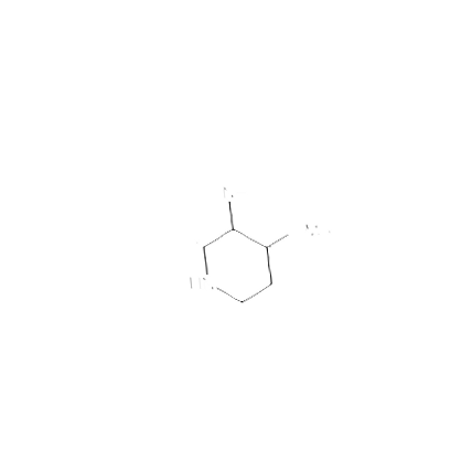 COC1CCNCC1N